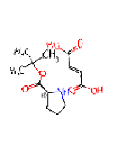 CC(C)(C)OC(=O)[C@@H]1CCCN1.O=C(O)C=CC(=O)O